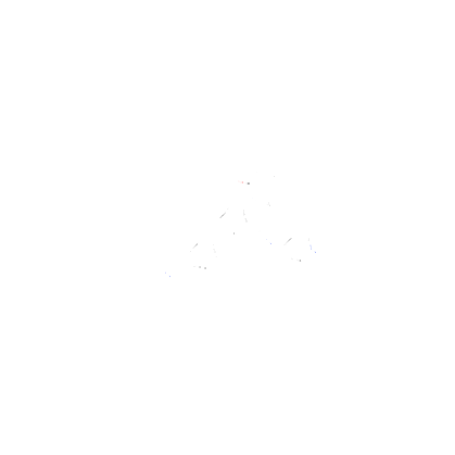 CC(=O)N1c2ccc(-c3ccc(CN4CCCCC4)cc3)cc2[C@@H](Nc2ccncc2)C[C@H]1C